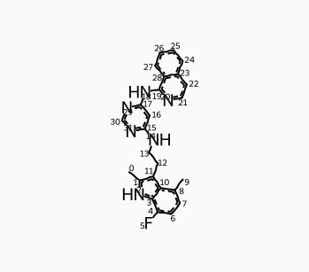 Cc1[nH]c2c(F)ccc(C)c2c1CCNc1cc(Nc2nccc3ccccc23)ncn1